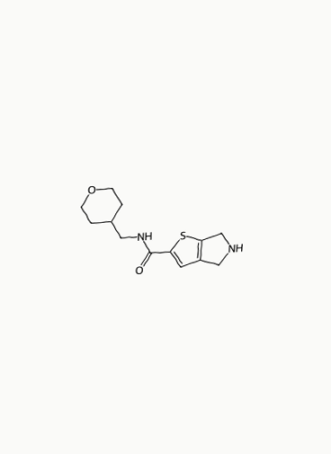 O=C(NCC1CCOCC1)c1cc2c(s1)CNC2